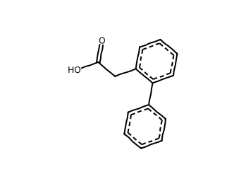 O=C(O)Cc1ccccc1-c1ccccc1